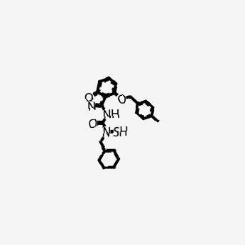 Cc1ccc(COc2cccc3onc(NC(=O)N(S)CC4CCCCC4)c23)cc1